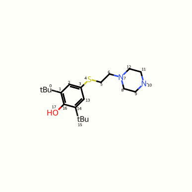 CC(C)(C)c1cc(SCCN2CC[N]CC2)cc(C(C)(C)C)c1O